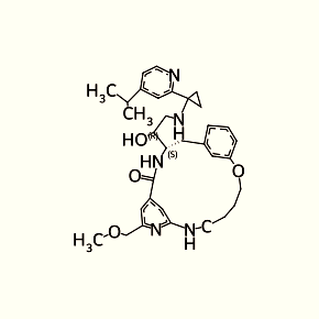 COCc1cc2cc(n1)NCCCCOc1cccc(c1)C[C@@H]([C@H](O)CNC1(c3cc(C(C)C)ccn3)CC1)NC2=O